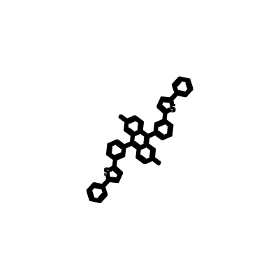 Cc1ccc2c(-c3cccc(-c4ccc(-c5ccccc5)s4)c3)c3cc(C)ccc3c(-c3cccc(-c4ccc(-c5ccccc5)s4)c3)c2c1